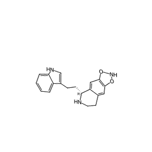 c1ccc2c(CC[C@H]3NCCc4cc5c(cc43)ONO5)c[nH]c2c1